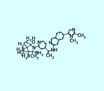 BC1(C)N(c2cc(C(=C)Nc3cc4cc(-c5cnc(C)n5C)ccc4cn3)ccn2)C(C)(O)C(B)(C)C1(B)C